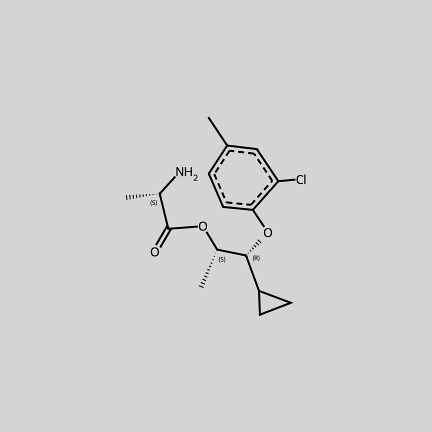 Cc1ccc(O[C@H](C2CC2)[C@H](C)OC(=O)[C@H](C)N)c(Cl)c1